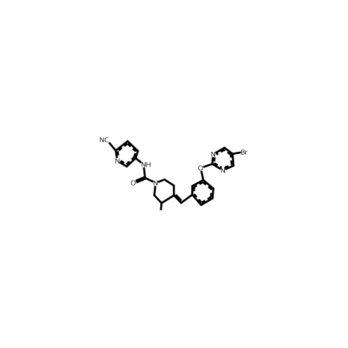 CC1CN(C(=O)Nc2ccc(C#N)nc2)CCC1=Cc1cccc(Oc2ncc(Br)cn2)c1